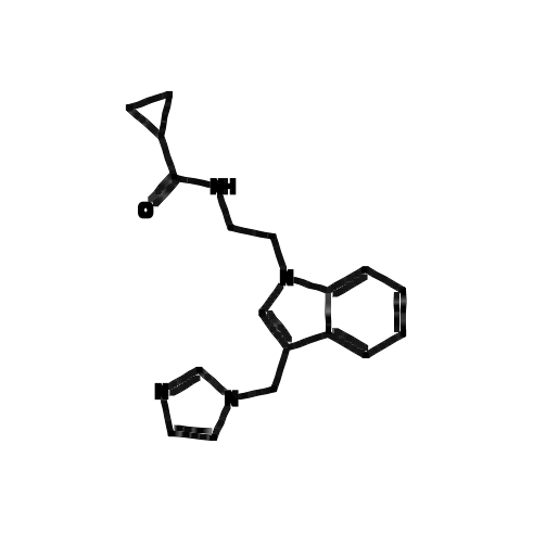 O=C(NCCn1cc(Cn2ccnc2)c2ccccc21)C1CC1